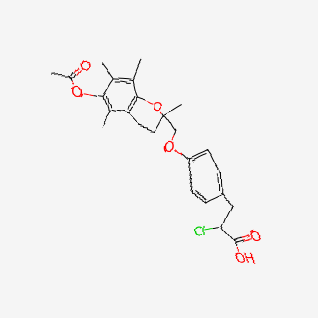 CC(=O)Oc1c(C)c(C)c2c(c1C)CCC(C)(COc1ccc(CC(Cl)C(=O)O)cc1)O2